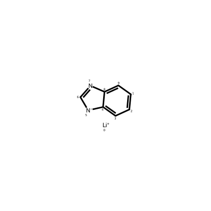 [Li+].c1ccc2[n-]cnc2c1